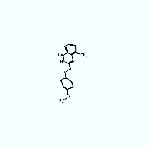 COC1CCC(SCc2nc3c(C)cccc3c(=O)[nH]2)CC1